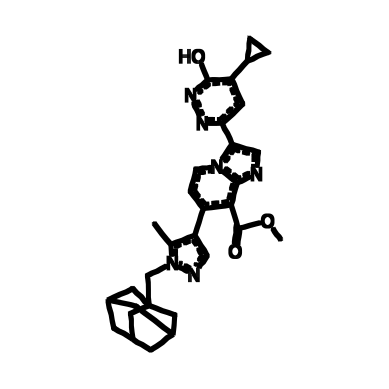 COC(=O)c1c(-c2cnn(CC34CC5CC(CC(C5)C3)C4)c2C)ccn2c(-c3cc(C4CC4)c(O)nn3)cnc12